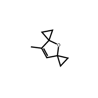 CC1=CC2(CC2)OC12CC2